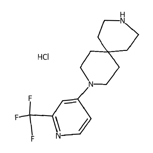 Cl.FC(F)(F)c1cc(N2CCC3(CCNCC3)CC2)ccn1